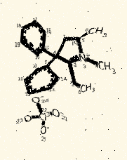 CCC1=[N+](C)[C@H](C)CC1(c1ccccc1)c1ccccc1.[O-][Cl+3]([O-])([O-])[O-]